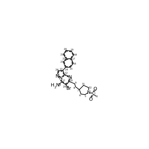 CS(=O)(=O)N1CCC(CCc2nc3c(-c4ccc5ccccc5c4)cnn3c(N)c2Br)CC1